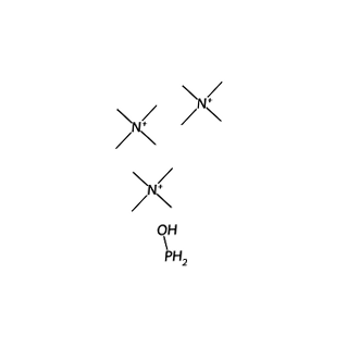 C[N+](C)(C)C.C[N+](C)(C)C.C[N+](C)(C)C.OP